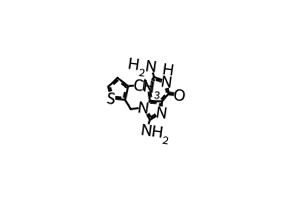 Cc1ccsc1Cn1c(N)nc2c(=O)[nH]c(N)nc21